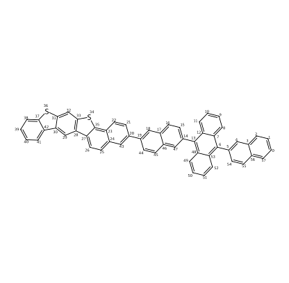 c1ccc2cc(-c3c4ccccc4c(-c4ccc5cc(-c6ccc7c(ccc8c9cc%10c(cc9sc78)sc7ccccc7%10)c6)ccc5c4)c4ccccc34)ccc2c1